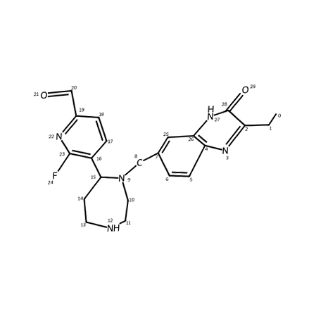 CCc1nc2ccc(CN3CCNCCC3c3ccc(C=O)nc3F)cc2[nH]c1=O